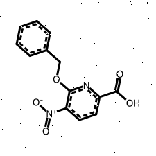 O=C(O)c1ccc([N+](=O)[O-])c(OCc2ccccc2)n1